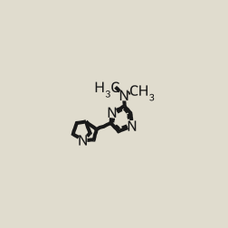 CN(C)c1cncc(C2CN3CCC2C3)n1